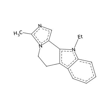 CCn1c2c(c3ccccc31)CCn1c-2cnc1C